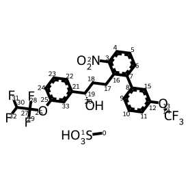 CS(=O)(=O)O.O=[N+]([O-])c1cccc(-c2cccc(OC(F)(F)F)c2)c1CC[C@H](O)c1cccc(OC(F)(F)C(F)F)c1